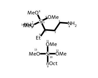 CCC(CCN)[Si](OC)(OC)OC.CCCCCCCC[Si](OC)(OC)OC.N